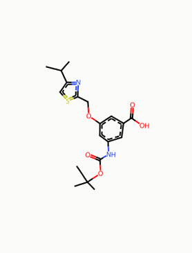 CC(C)c1csc(COc2cc(NC(=O)OC(C)(C)C)cc(C(=O)O)c2)n1